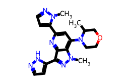 CC1COCCN1c1cc(-c2ccnn2C)nc2c(-c3ccn[nH]3)nn(C)c12